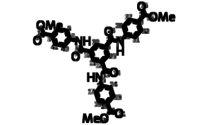 COC(=O)c1ccc(NC(=O)c2cc(C(=O)Nc3ccc(C(=O)OC)cc3)cc(C(=O)Nc3ccc(C(=O)OC)cc3)c2)cc1